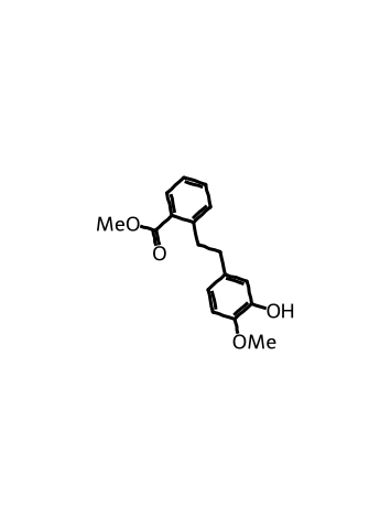 COC(=O)c1ccccc1CCc1ccc(OC)c(O)c1